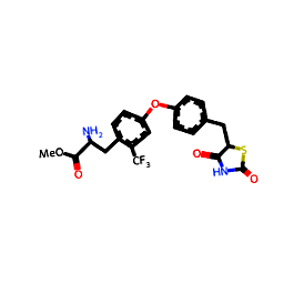 COC(=O)C(N)Cc1ccc(Oc2ccc(CC3SC(=O)NC3=O)cc2)cc1C(F)(F)F